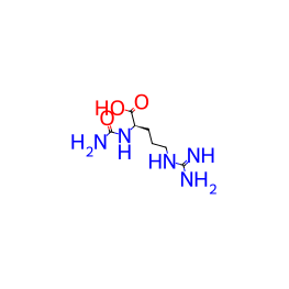 N=C(N)NCCC[C@@H](NC(N)=O)C(=O)O